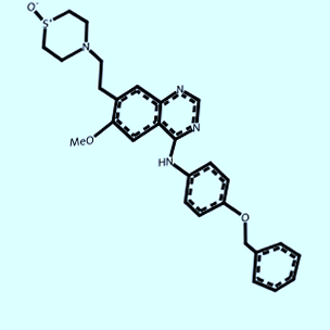 COc1cc2c(Nc3ccc(OCc4ccccc4)cc3)ncnc2cc1CCN1CC[S+]([O-])CC1